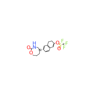 O=C1NC[C@H](c2ccc3c(c2)CCC(OS(=O)C(F)(F)F)=C3)CCCO1